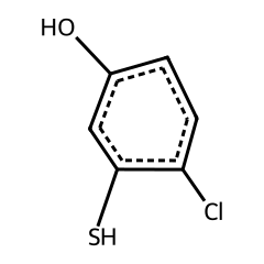 Oc1ccc(Cl)c(S)c1